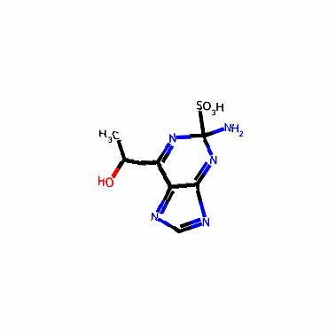 CC(O)C1=NC(N)(S(=O)(=O)O)N=C2N=CN=C21